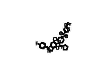 CCCn1cc(S(=O)(=O)N2CCC(C(=O)N3CCCC3)(c3cc4cnn(-c5ccc(F)cc5)c4cc3C)CC2)cn1